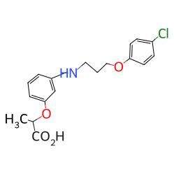 CC(Oc1cccc(CNCCCOc2ccc(Cl)cc2)c1)C(=O)O